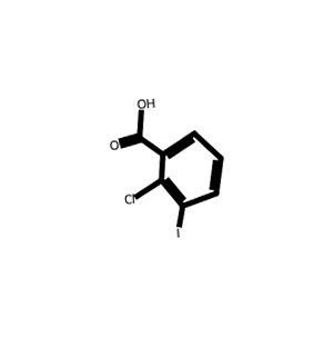 O=C(O)c1cccc(I)c1Cl